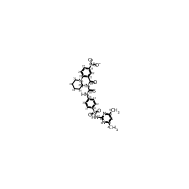 Cc1cc(C)nc(NS(=O)(=O)c2ccc(NC(=S)NC(=O)c3cc([N+](=O)[O-])ccc3N3CCCCC3)cc2)n1